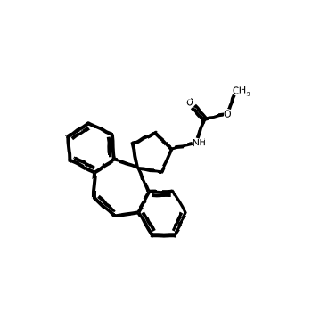 COC(=O)NC1CCC2(C1)c1ccccc1C=Cc1ccccc12